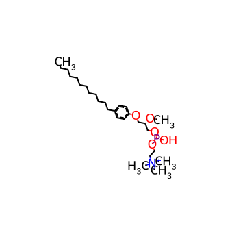 CCCCCCCCCCCCc1ccc(OCC(COP(O)OCC[N+](C)(C)C)OC)cc1